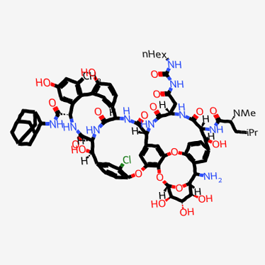 CCCCCCNC(=O)NC(=O)C[C@@H]1NC(=O)[C@H](NC(=O)[C@@H](CC(C)C)NC)[C@H](O)c2ccc3c(c2)C(N)[C@H]2O[C@@H](Oc4c5cc(cc4O3)[C@@H](NC1=O)C(=O)N[C@H]1C(=O)N[C@H](C(=O)N[C@H](C(=O)NC3C4CC6CC(C4)CC3C6)c3cc(O)cc(C)c3-c3cc1ccc3O)[C@H](O)c1ccc(c(Cl)c1)O5)[C@H](O)[C@@H](O)[C@@H]2O